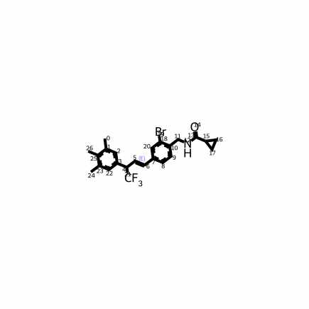 Cc1cc(C(/C=C/c2ccc(CNC(=O)C3CC3)c(Br)c2)C(F)(F)F)cc(C)c1C